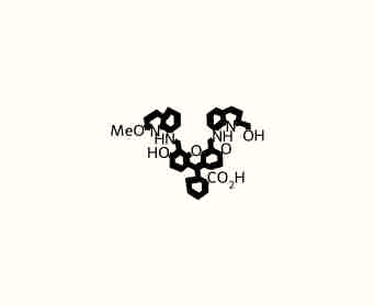 COc1ccc2cccc(NCc3c(O)ccc4c(-c5ccccc5C(=O)O)c5ccc(=O)c(CNc6cccc7ccc(CO)nc67)c-5oc34)c2n1